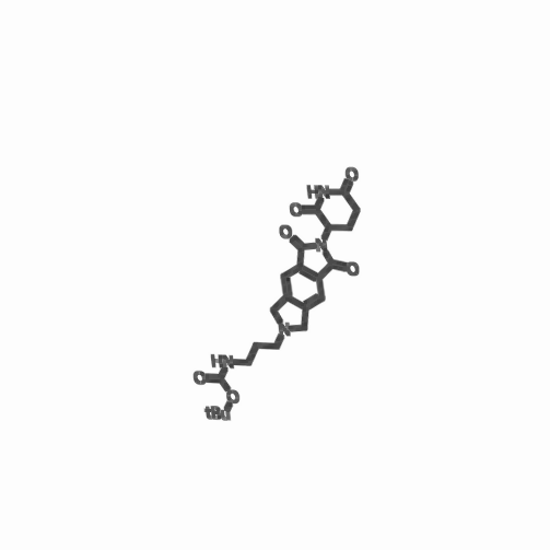 CC(C)(C)OC(=O)NCCCN1Cc2cc3c(cc2C1)C(=O)N(C1CCC(=O)NC1=O)C3=O